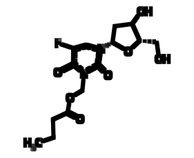 CCCC(=O)OCn1c(=O)c(F)cn([C@@H]2CC(O)[C@H](CO)O2)c1=O